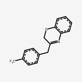 FC(F)(F)c1ccc(CC2=Nc3ccccc3OC2)cc1